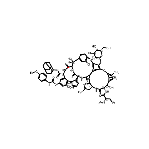 CCOc1ccc(NC(=O)Oc2cc(O)c3c(c2)[C@@H](C(=O)NC2C4CC5CC(C4)CC2C5)NC(=O)[C@H]2NC(=O)[C@H](NC(=O)C4NC(=O)[C@H](CC(N)=O)NC(=O)[C@H](NC(=O)[C@@H](CC(C)C)NC)[C@H](O)C5=CC(C)=C(Oc6cc4cc(c6O[C@@H]4O[C@H](CO)[C@@H](O)[C@H](O)[C@H]4O)Oc4ccc(cc4Cl)[C@H]2O)C5C)C2=CC=C(O)C23C)cc1